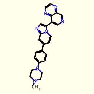 CN1CCN(c2ccc(-c3ccn4c(-c5cncc6nccnc56)cnc4c3)cc2)CC1